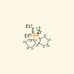 CCC=C(CC)[PH]([Zr][Cl])(C1CCCCC1)C1CCCCC1